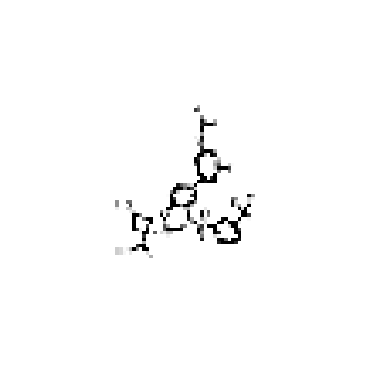 O=C(O)[C@]1(C[C@H]2CN(S(=O)(=O)c3cccc(C(F)(F)F)c3)c3cc(-c4cc(F)cc(OC(F)F)c4)ccc3O2)C[C@H](O)C1